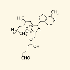 CC1=NCCC2=C1CCC2C1OC(COC(O)CCCC=O)[C@H](O)[C@H]1CC(C)CCC1(C)C=N1